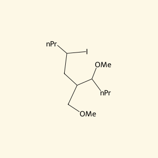 CCCC(I)CC(COC)C(CCC)OC